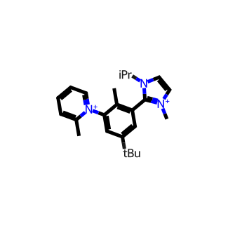 Cc1c(-c2n(C(C)C)cc[n+]2C)cc(C(C)(C)C)cc1-[n+]1ccccc1C